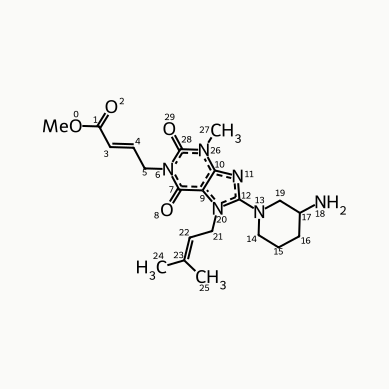 COC(=O)C=CCn1c(=O)c2c(nc(N3CCCC(N)C3)n2CC=C(C)C)n(C)c1=O